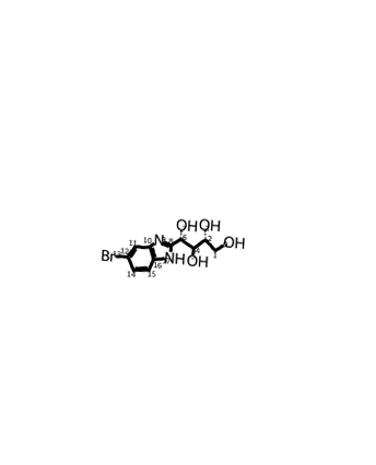 OC[C@@H](O)C(O)[C@@H](O)c1nc2cc(Br)ccc2[nH]1